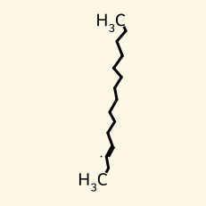 CC/[C]=C/CCCCCCCCCCC